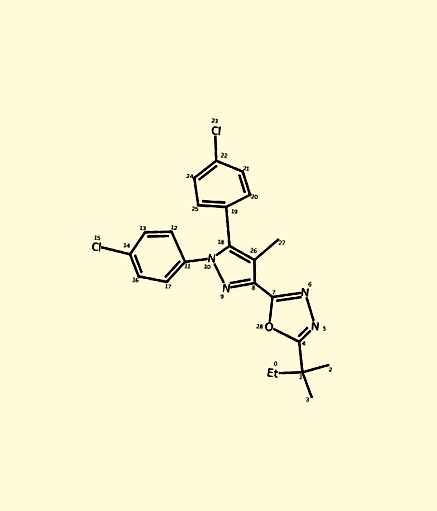 CCC(C)(C)c1nnc(-c2nn(-c3ccc(Cl)cc3)c(-c3ccc(Cl)cc3)c2C)o1